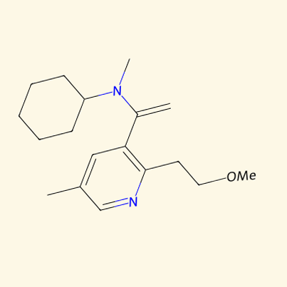 C=C(c1cc(C)cnc1CCOC)N(C)C1CCCCC1